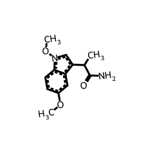 COc1ccc2c(c1)c(C(C)C(N)=O)cn2OC